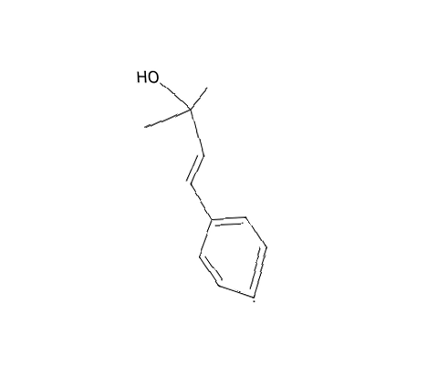 CC(C)(O)C=Cc1cc[c]cc1